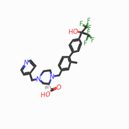 Cc1cc(CN2CCN(Cc3ccncc3)C[C@H]2C(=O)O)ccc1-c1ccc(C(O)(C(F)(F)F)C(F)(F)F)cc1